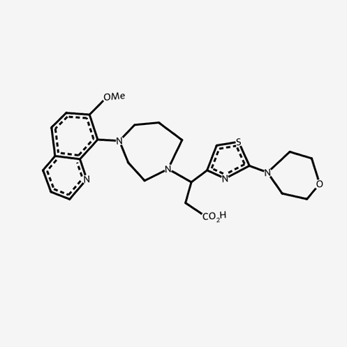 COc1ccc2cccnc2c1N1CCCN(C(CC(=O)O)c2csc(N3CCOCC3)n2)CC1